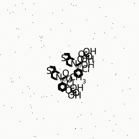 COC(=O)[C@H](c1ccccc1Cl)N1CCc2sccc2C1.O=C(O)[C@H](c1ccccc1Cl)N1CCc2sccc2C1.O=S(=O)(O)O.O=S(=O)(O)O